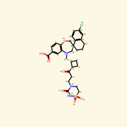 O=C(O)c1ccc2c(c1)N(C[C@@H]1CC[C@H]1C(=O)CCN1CCS(=O)(=O)NC1=O)C[C@@]1(CCCc3cc(Cl)ccc31)CO2